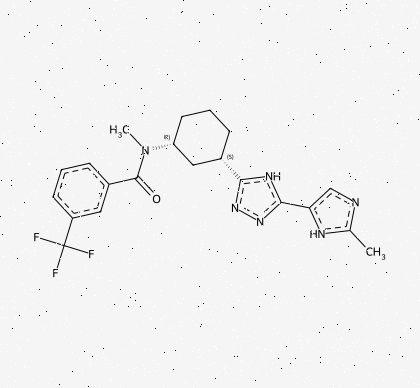 Cc1ncc(-c2nnc([C@H]3CCC[C@@H](N(C)C(=O)c4cccc(C(F)(F)F)c4)C3)[nH]2)[nH]1